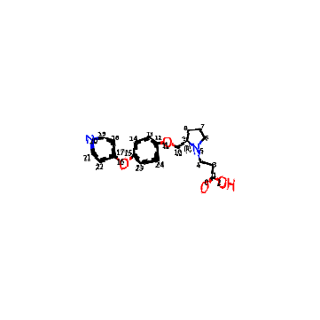 O=C(O)CCN1CCC[C@@H]1COc1ccc(Oc2ccncc2)cc1